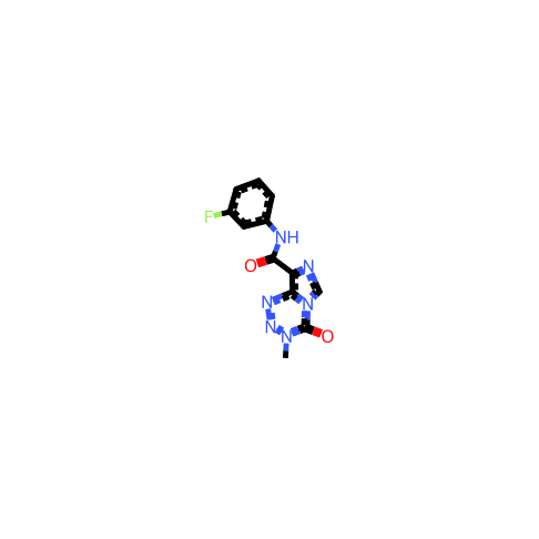 Cn1nnc2c(C(=O)Nc3cccc(F)c3)ncn2c1=O